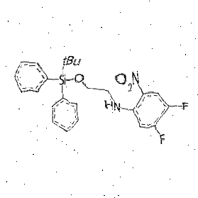 CC(C)(C)[Si](OCCNc1cc(F)c(F)cc1[N+](=O)[O-])(c1ccccc1)c1ccccc1